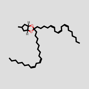 CCCCCC/C=C\C/C=C\C/C=C\CCCCC1(CCCCCCCC/C=C\C/C=C\CCCCCCC)O[C@H]2CC(C)C[C@H]2O1